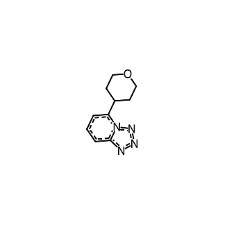 c1cc(C2CCOCC2)n2nnnc2c1